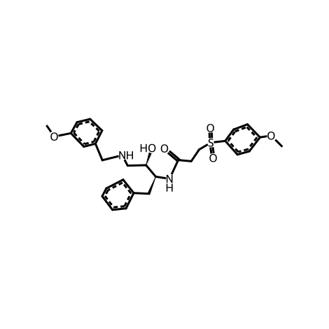 COc1ccc(S(=O)(=O)CCC(=O)N[C@@H](Cc2ccccc2)[C@H](O)CNCc2cccc(OC)c2)cc1